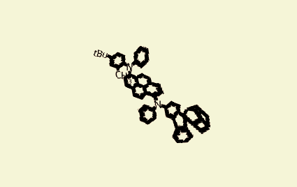 Cc1cc(C(C)(C)C)ccc1N(c1ccccc1)c1ccc2ccc3c(N(c4ccccc4)c4ccc5c(c4)-c4ccccc4C54C5CC6CC(C5)CC4C6)ccc4ccc1c2c43